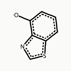 [O]c1cccc2scnc12